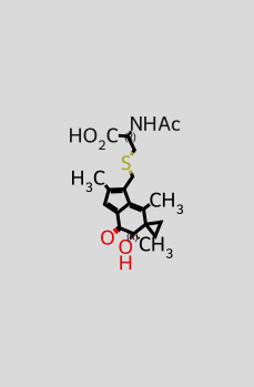 CC(=O)N[C@@H](CSCC1=C(C)C=C2C(=O)[C@](C)(O)C3(CC3)C(C)=C21)C(=O)O